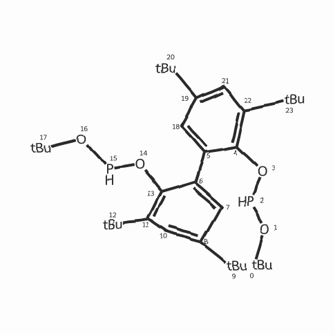 CC(C)(C)OPOc1c(-c2cc(C(C)(C)C)cc(C(C)(C)C)c2OPOC(C)(C)C)cc(C(C)(C)C)cc1C(C)(C)C